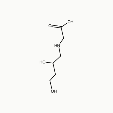 O=C(O)CNCC(O)CCO